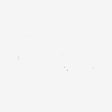 CC(C)c1ccccc1-c1cccc(C(=O)NC2CCOC(C)(C)C2)c1